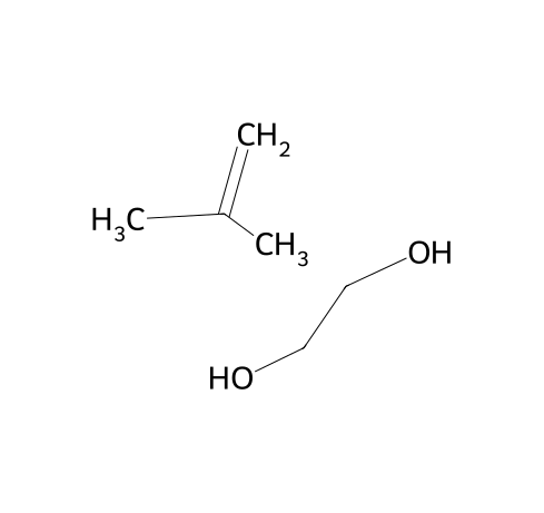 C=C(C)C.OCCO